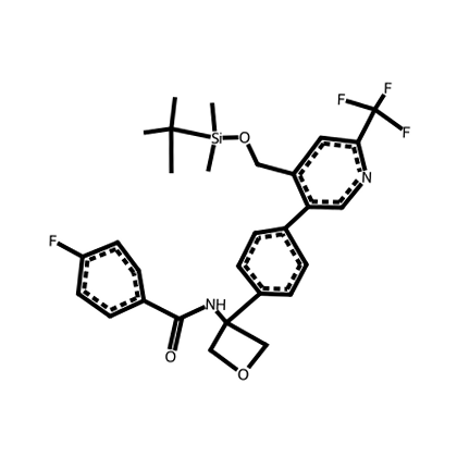 CC(C)(C)[Si](C)(C)OCc1cc(C(F)(F)F)ncc1-c1ccc(C2(NC(=O)c3ccc(F)cc3)COC2)cc1